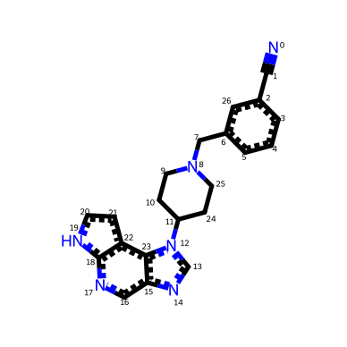 N#Cc1cccc(CN2CCC(n3cnc4cnc5[nH]ccc5c43)CC2)c1